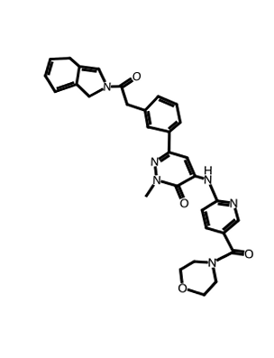 Cn1nc(-c2cccc(CC(=O)N3C=C4CC=CC=C4C3)c2)cc(Nc2ccc(C(=O)N3CCOCC3)cn2)c1=O